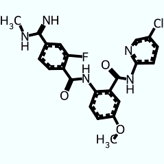 CNC(=N)c1ccc(C(=O)Nc2ccc(OC)cc2C(=O)Nc2ccc(Cl)cn2)c(F)c1